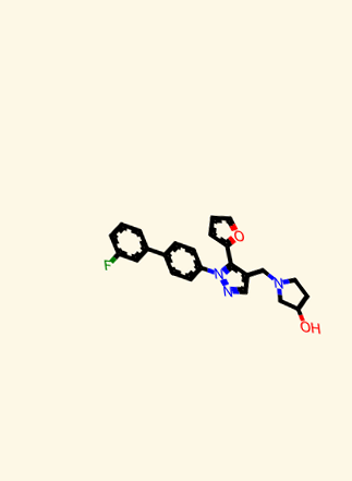 OC1CCN(Cc2cnn(-c3ccc(-c4cccc(F)c4)cc3)c2-c2ccco2)C1